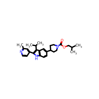 Cc1cc(-c2[nH]c3ccc(C4CCN(C(=O)OCC(C)C)CC4)cc3c2C(C)C)ccn1